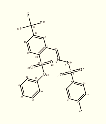 Cc1ccc(S(=O)(=O)N/N=C/c2cc(C(F)(F)F)ccc2S(=O)(=O)Oc2ccccc2)cc1